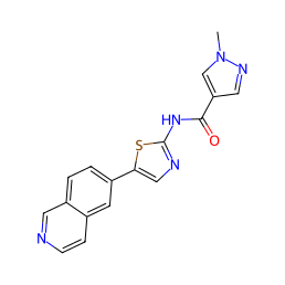 Cn1cc(C(=O)Nc2ncc(-c3ccc4cnccc4c3)s2)cn1